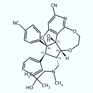 CN(C[C@H]1[C@H]2OCCOc3nc(C#N)cc4c3[C@@]2(O)[C@@](c2ccc(C#N)cc2)(O4)[C@@H]1c1ccccc1)CC(C)(C)O